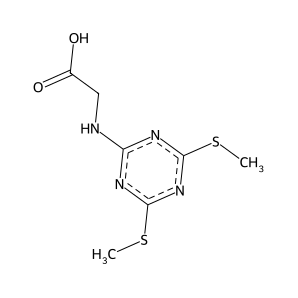 CSc1nc(NCC(=O)O)nc(SC)n1